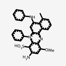 COc1cc(N)c(S(=O)(=O)O)c2c1nc1c3cccc(C)c3c(Nc3ccccc3)cc1[n+]2-c1ccccc1